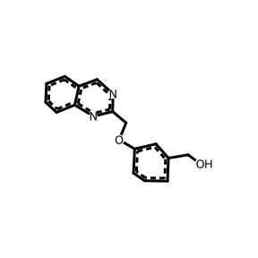 OCc1cccc(OCc2ncc3ccccc3n2)c1